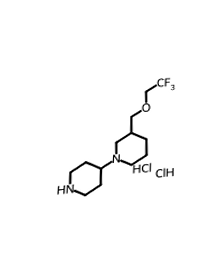 Cl.Cl.FC(F)(F)COCC1CCCN(C2CCNCC2)C1